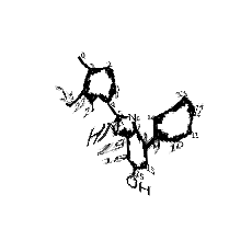 Cc1ccc(-c2nc3c(-c4ccccc4)cc(O)cc3[nH]2)cc1C